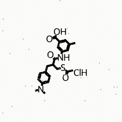 CC(=O)SCC(Cc1ccc(N(C)C)cc1)C(=O)Nc1cc(C)cc(C(=O)O)c1.Cl